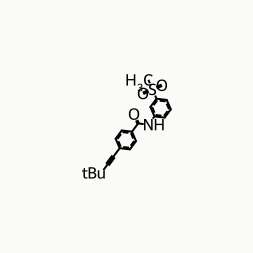 CC(C)(C)C#Cc1ccc(C(=O)Nc2cccc(S(C)(=O)=O)c2)cc1